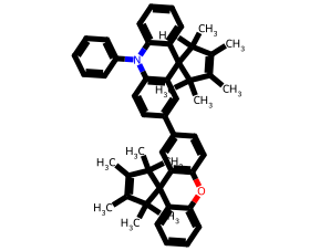 CC1=C(C)C(C)(C)C2(c3ccccc3Oc3ccc(-c4ccc5c(c4)C4(c6ccccc6N5c5ccccc5)C(C)(C)C(C)=C(C)C4(C)C)cc32)C1(C)C